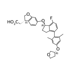 Cc1cc(O[C@@H]2CCOC2)cc(C)c1-c1ccc(F)c2c1CC[C@H]2Oc1ccc2c(c1)OC[C@H]2CC(=O)O